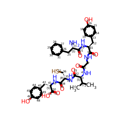 CC(C)[C@H](NC(=O)CNC(=O)[C@H](Cc1ccc(O)cc1)NC(=O)[C@@H](N)Cc1ccccc1)C(=O)N[C@@H](CS)C(=O)N[C@@H](Cc1ccc(O)cc1)C(=O)O